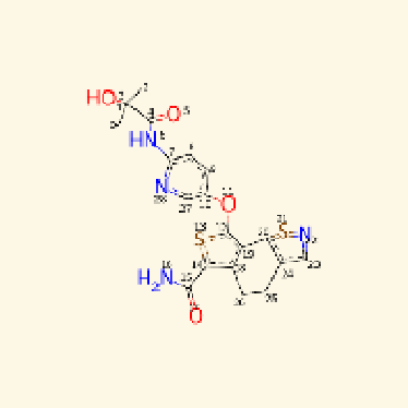 CC(C)(O)C(=O)Nc1ccc(Oc2sc(C(N)=O)c3c2-c2sncc2CC3)cn1